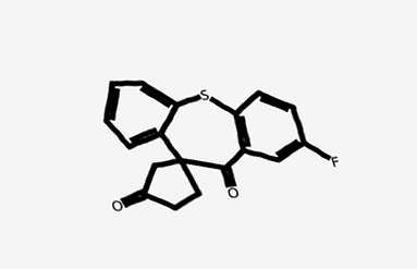 O=C1CCC2(C1)C(=O)c1cc(F)ccc1Sc1ccccc12